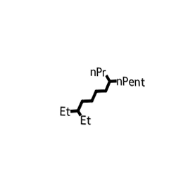 CCCCCC(CCC)CCCCC(CC)CC